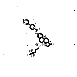 C[C@]12CC[C@@H]3c4ccc(OC(=O)N5CCC(c6ccncc6)CC5)cc4C[C@@H](C[S+]([O-])CCCC(F)(F)C(F)(F)F)C3[C@@H]1CCC2=O